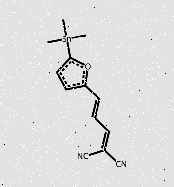 [CH3][Sn]([CH3])([CH3])[c]1ccc(C=CC=C(C#N)C#N)o1